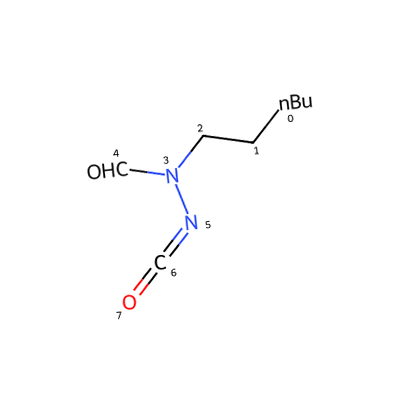 CCCCCCN(C=O)N=C=O